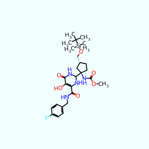 COC(=O)N[C@]1(C2NC(=O)C(O)=C(C(=O)NCc3ccc(F)cc3)N2)CC[C@@H](CO[Si](C)(C)C(C)(C)C)C1